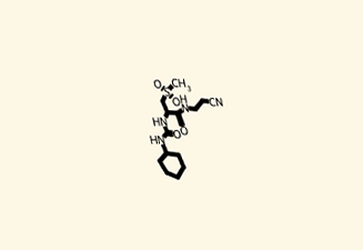 CS(=O)(=O)CC(NC(=O)NC1CCCCC1)C(=O)NCCC#N